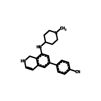 CN1CCC(Nc2cc(-c3ccc(C#N)cc3)cc3c2CNC=C3)CC1